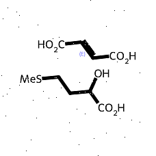 CSCCC(O)C(=O)O.O=C(O)/C=C/C(=O)O